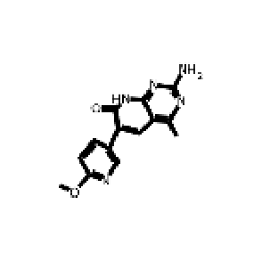 COc1ccc(-c2cc3c(C)nc(N)nc3[nH]c2=O)cn1